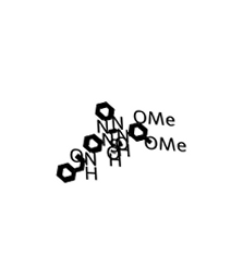 COc1cc(Nc2nc3ccccc3nc2N(c2cccc(NC(=O)Cc3ccccc3)c2)[SH](=O)=O)cc(OC)c1